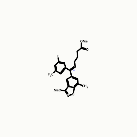 COC(=O)CCC/C=C(\c1cc(F)cc(C(F)(F)F)c1)c1cc(C)c2onc(OC)c2c1